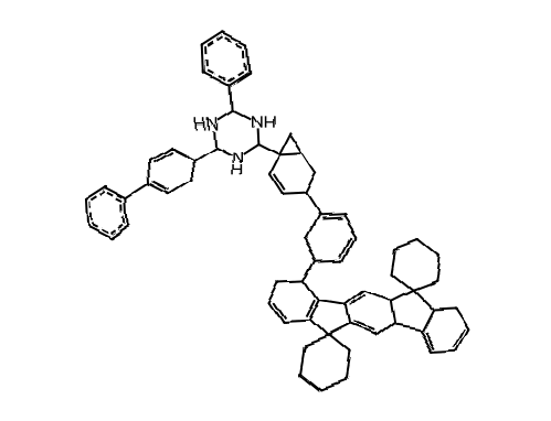 C1=CCC2C(=C1)C1C=C3C(=CC1C21CCCCC1)C1=C(C=CCC1C1C=CC=C(C2C=CC4(C5NC(c6ccccc6)NC(C6C=CC(c7ccccc7)=CC6)N5)CC4C2)C1)C31CCCCC1